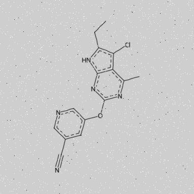 CCc1[nH]c2nc(Oc3cncc(C#N)c3)nc(C)c2c1Cl